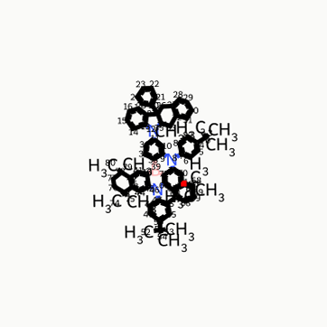 CC(C)(C)c1ccc(N2c3cc(N4c5ccccc5C5(c6ccccc6)Cc6ccccc6CC45C)ccc3B3c4cc5c(cc4N(c4ccc(C(C)(C)C)cc4-c4ccccc4)c4cc(C(C)(C)C)cc2c43)C(C)(C)CCC5(C)C)cc1